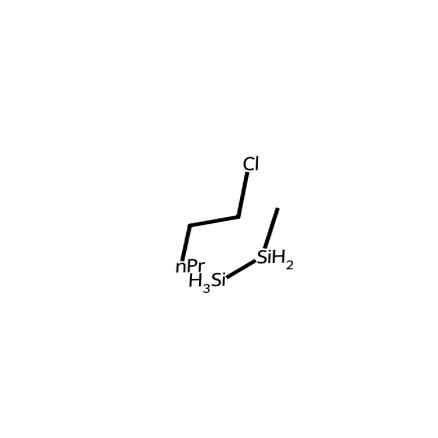 CCCCCCl.C[SiH2][SiH3]